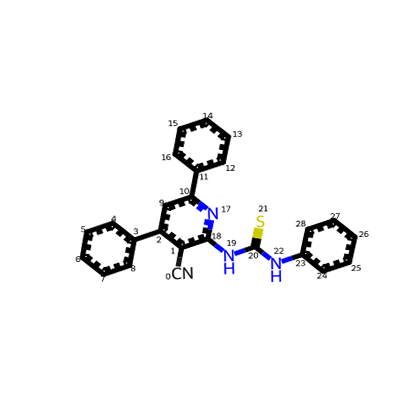 N#Cc1c(-c2ccccc2)cc(-c2ccccc2)nc1NC(=S)Nc1ccccc1